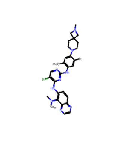 CCc1cc(Nc2ncc(Br)c(Nc3ccc4nccnc4c3N(C)SC)n2)c(OC)cc1N1CCC2(CC1)CN(C)C2